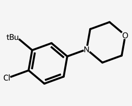 CC(C)(C)c1cc(N2CCOCC2)ccc1Cl